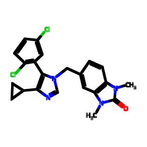 Cn1c(=O)n(C)c2cc(Cn3cnc(C4CC4)c3-c3cc(Cl)ccc3Cl)ccc21